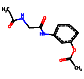 CC(=O)NCC(=O)Nc1cccc(OC(C)=O)c1